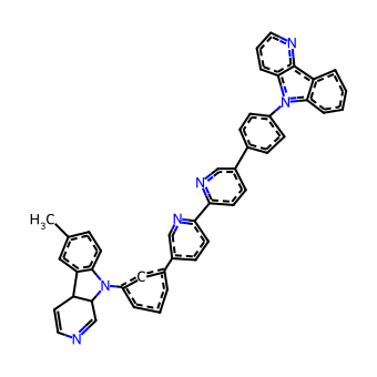 Cc1ccc2c(c1)C1C=CN=CC1N2c1cccc(-c2ccc(-c3ccc(-c4ccc(-n5c6ccccc6c6ncccc65)cc4)cn3)nc2)c1